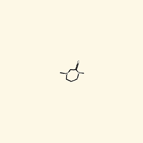 CN1CCCN(C)C(=O)C1